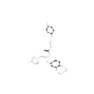 O=C(CCOc1ccc(F)cc1)N[C@@H](Cc1ccc2c(c1)OCCO2)CN1CC[C@@H](F)C1